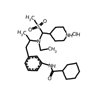 CCN(C(C)Cc1cccc(NC(=O)C2CCCCC2)c1)C(C1CCNCC1)S(C)(=O)=O.Cl